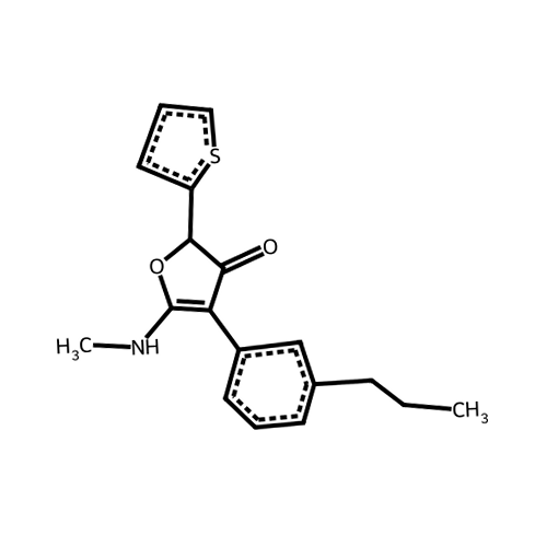 CCCc1cccc(C2=C(NC)OC(c3cccs3)C2=O)c1